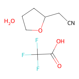 N#CCC1CCCO1.O.O=C(O)C(F)(F)F